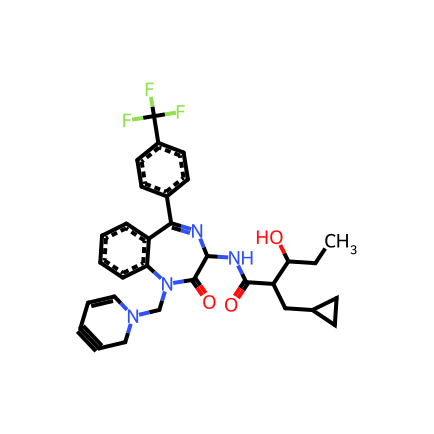 CCC(O)C(CC1CC1)C(=O)NC1N=C(c2ccc(C(F)(F)F)cc2)c2ccccc2N(CN2C=CC#CC2)C1=O